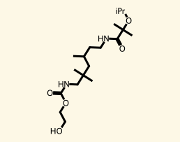 CC(CCNC(=O)C(C)(C)OC(C)C)CC(C)(C)CNC(=O)OCCO